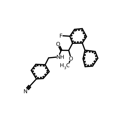 COC(C(=O)NCc1ccc(C#N)cc1)c1c(F)cccc1-c1ccccc1